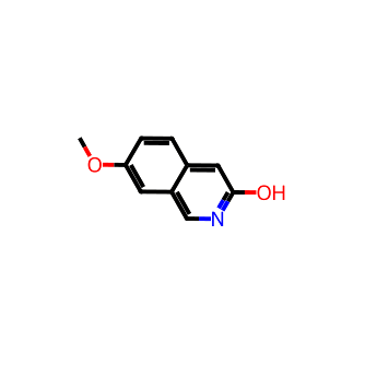 COc1ccc2cc(O)ncc2c1